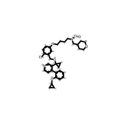 O=CN(CCCCSc1ccc(Cl)c(COC2(c3cnccc3-c3ccccc3OC3CC3)CC2)c1)CC1CCOCC1